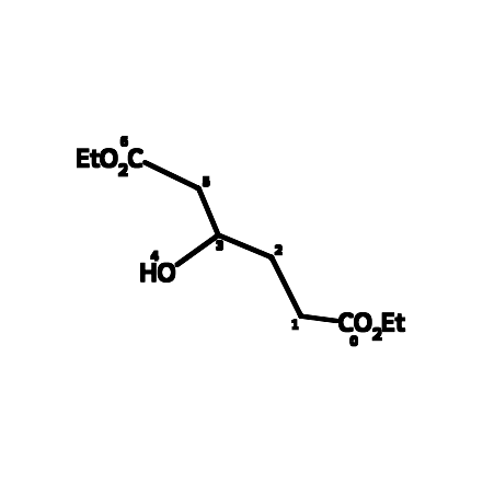 CCOC(=O)CCC(O)CC(=O)OCC